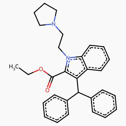 CCOC(=O)c1c(C(c2ccccc2)c2ccccc2)c2ccccc2n1CCN1CCCC1